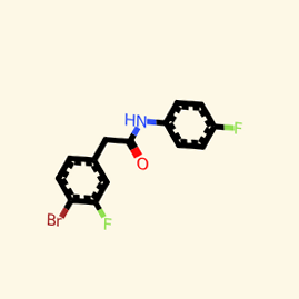 O=C(Cc1ccc(Br)c(F)c1)Nc1ccc(F)cc1